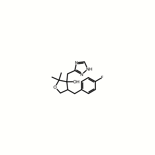 CC1(C)OCC(Cc2ccc(F)cc2)C1(O)Cc1nc[nH]n1